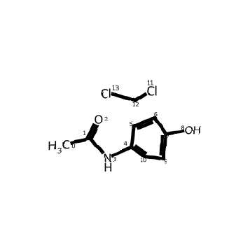 CC(=O)Nc1ccc(O)cc1.ClCCl